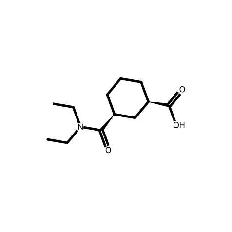 CCN(CC)C(=O)[C@H]1CCC[C@@H](C(=O)O)C1